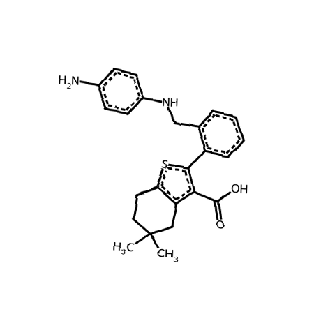 CC1(C)CCc2sc(-c3ccccc3CNc3ccc(N)cc3)c(C(=O)O)c2C1